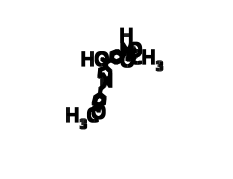 COc1ccc(CCN2CCC(C(O)c3ccc(NS(C)(=O)=O)cc3)CC2)cc1